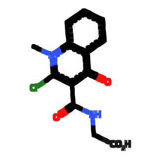 Cn1c(Cl)c(C(=O)NCC(=O)O)c(=O)c2ccccc21